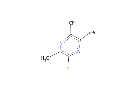 CCCc1nc(F)c(C)nc1C(F)(F)F